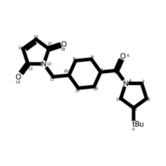 CC(C)(C)C1CCN(C(=O)C2CCC(CN3C(=O)C=CC3=O)CC2)C1